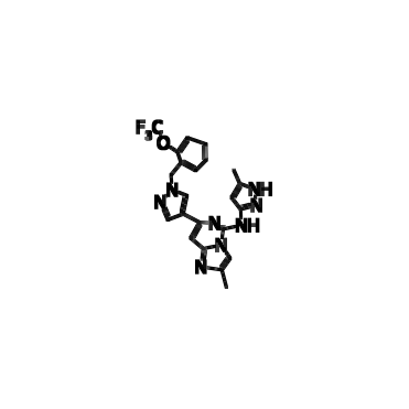 Cc1cn2c(Nc3cc(C)[nH]n3)nc(-c3cnn(Cc4ccccc4OC(F)(F)F)c3)cc2n1